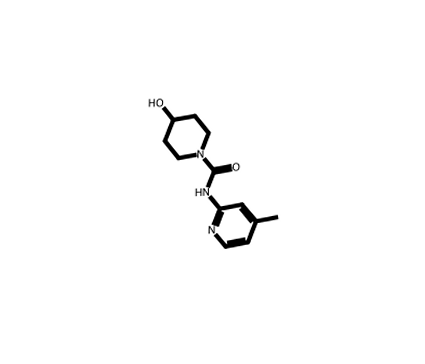 Cc1ccnc(NC(=O)N2CCC(O)CC2)c1